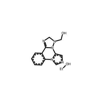 CCO.OCN1CN=C2c3ccccc3-n3cncc3N21